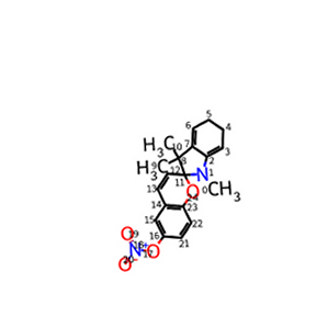 CN1C2=CCCC=C2C(C)(C)C12C=Cc1cc(O[N+](=O)[O-])ccc1O2